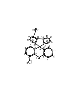 Clc1cccc2c1Sc1ccccc1C21c2ccccc2-c2c(Br)cccc21